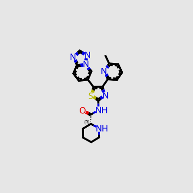 Cc1cccc(-c2nc(NC(=O)[C@H]3CCCCN3)sc2-c2ccc3ncnn3c2)n1